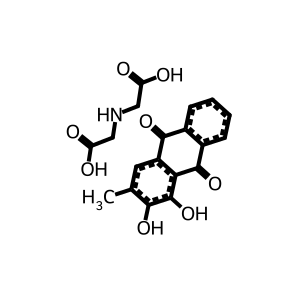 Cc1cc2c(c(O)c1O)C(=O)c1ccccc1C2=O.O=C(O)CNCC(=O)O